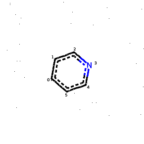 [c]1ccncc1